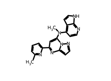 Cc1cccc(-c2cc(N(C)c3ccnc4[nH]ccc34)n3nccc3n2)n1